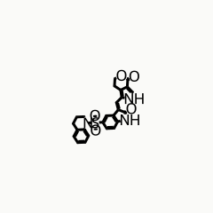 O=C1Nc2ccc(S(=O)(=O)N3CCCc4ccccc43)cc2C1=Cc1[nH]cc2c1CCOC2=O